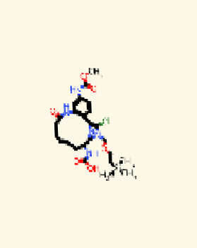 COC(=O)Nc1ccc2c(c1)NC(=O)CC/C=C/C[C@H](NC(=O)O)c1nc-2c(Cl)n1COCC[Si](C)(C)C